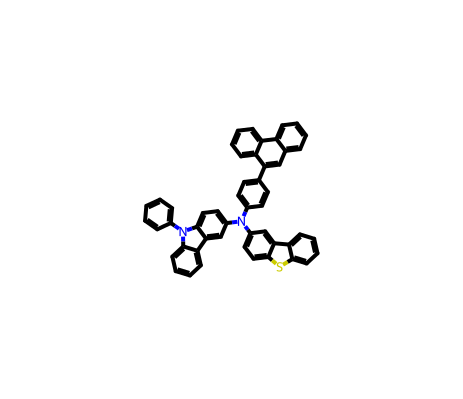 c1ccc(-n2c3ccccc3c3cc(N(c4ccc(-c5cc6ccccc6c6ccccc56)cc4)c4ccc5sc6ccccc6c5c4)ccc32)cc1